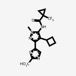 Cn1nc(-c2cnc(C(=O)O)s2)c(C2CCC2)c1NC(=O)C1(C(F)(F)F)CC1